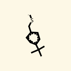 [CH2]SCc1ccc(C(C)(C)C)cc1